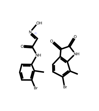 Cc1c(Br)ccc2c1NC(=O)C2=O.Cc1c(Br)cccc1NC(=O)/C=N/O